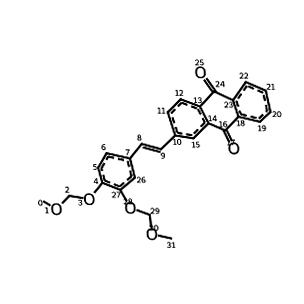 COCOc1ccc(C=Cc2ccc3c(c2)C(=O)c2ccccc2C3=O)cc1OCOC